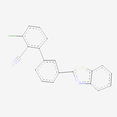 N#Cc1c(Cl)cccc1-c1cccc(-c2nc3ccccc3s2)c1